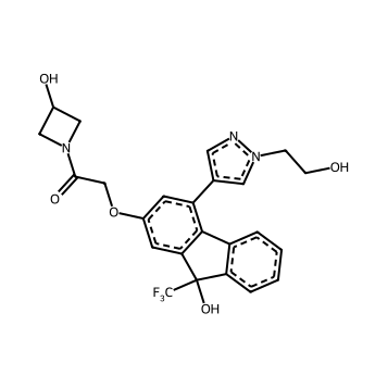 O=C(COc1cc(-c2cnn(CCO)c2)c2c(c1)C(O)(C(F)(F)F)c1ccccc1-2)N1CC(O)C1